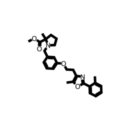 COC(=O)C1(C)CCCN1Cc1cccc(OCCc2nc(-c3ccccc3C)oc2C)c1